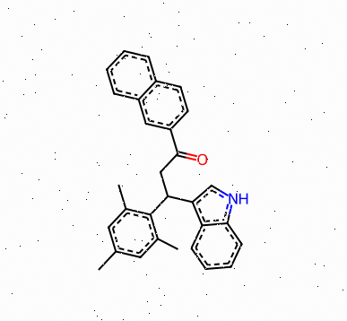 Cc1cc(C)c(C(CC(=O)c2ccc3ccccc3c2)c2c[nH]c3ccccc23)c(C)c1